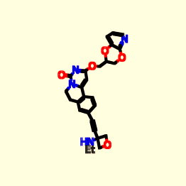 CCNC1(C#Cc2ccc3c(c2)CCn2c-3cc(OCC3COc4ncccc4O3)nc2=O)COC1